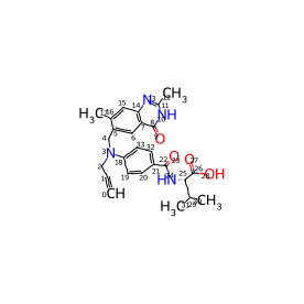 C#CCN(Cc1cc2c(=O)[nH]c(C)nc2cc1C)c1ccc(C(=O)N[C@H](C(=O)O)C(C)C)cc1